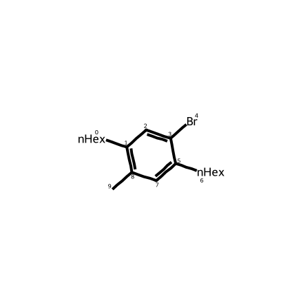 CCCCCCc1cc(Br)c(CCCCCC)cc1C